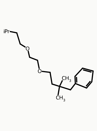 CC(C)CCOCCOCCC(C)(C)Cc1ccccc1